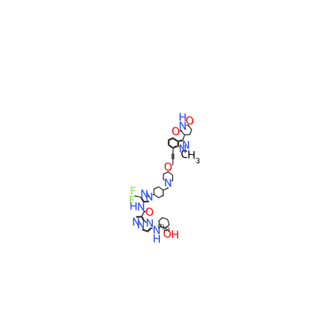 Cn1nc(C2CCC(=O)NC2=O)c2cccc(C#CCOC3CCN(CC4CCC(n5cc(NC(=O)c6cnn7ccc(N[C@@H]8CCCC[C@@H]8O)nc67)c(C(F)F)n5)CC4)CC3)c21